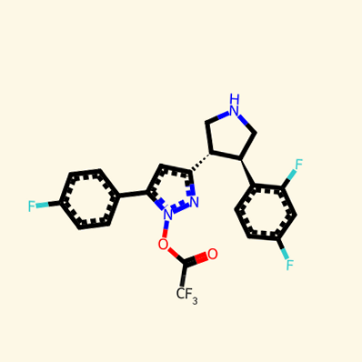 O=C(On1nc([C@@H]2CNC[C@H]2c2ccc(F)cc2F)cc1-c1ccc(F)cc1)C(F)(F)F